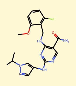 COc1cccc(F)c1CNc1nc(Nc2cnn(C(C)C)c2)ncc1C(N)=O